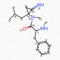 CNC(Cc1ccccc1)C(=O)N(C)C1(CC(C)C)CC1=N